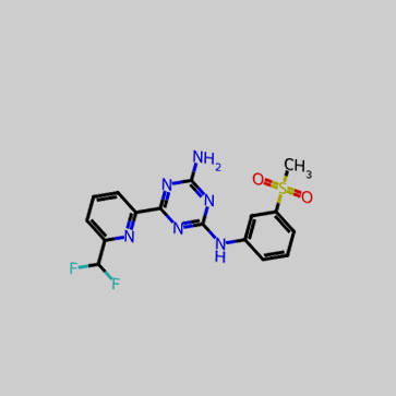 CS(=O)(=O)c1cccc(Nc2nc(N)nc(-c3cccc(C(F)F)n3)n2)c1